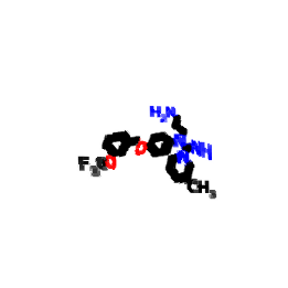 CC1CCCN(C(=N)N(CCCN)c2ccc(OCc3cccc(OC(F)(F)F)c3)cc2)C1